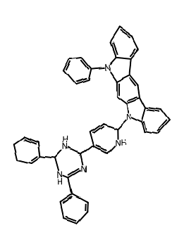 C1=CC(C2NC(c3ccccc3)=NC(C3=CNC(n4c5ccccc5c5cc6c7ccccc7n(-c7ccccc7)c6cc54)C=C3)N2)=CCC1